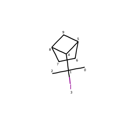 CC(C)(I)C1C2CCC1C2